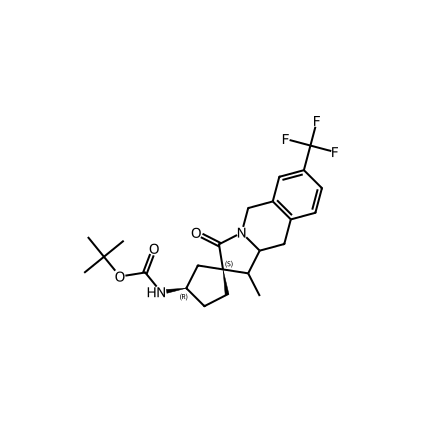 CC1C2Cc3ccc(C(F)(F)F)cc3CN2C(=O)[C@]12CC[C@@H](NC(=O)OC(C)(C)C)C2